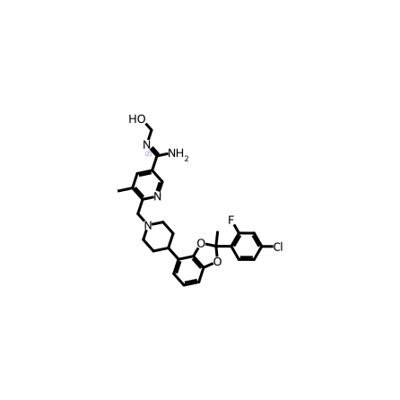 Cc1cc(/C(N)=N/CO)cnc1CN1CCC(c2cccc3c2OC(C)(c2ccc(Cl)cc2F)O3)CC1